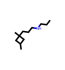 CCCNCCCC1(C)CC(C)C1